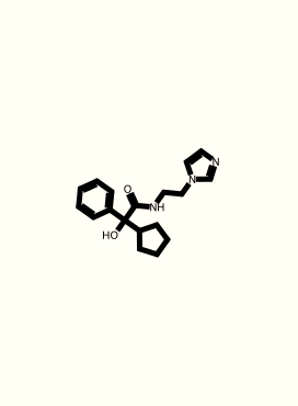 O=C(NCCn1ccnc1)C(O)(c1ccccc1)C1CCCC1